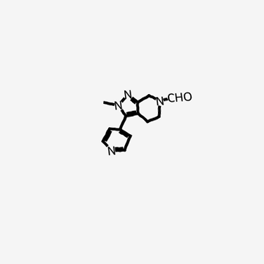 Cn1nc2c(c1-c1ccncc1)CCN(C=O)C2